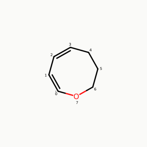 [C]1=C\C=C/CCCO/1